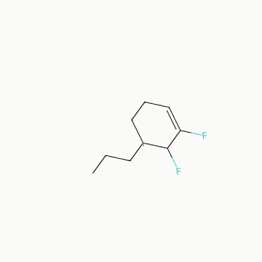 CCC[C]1CCC=C(F)C1F